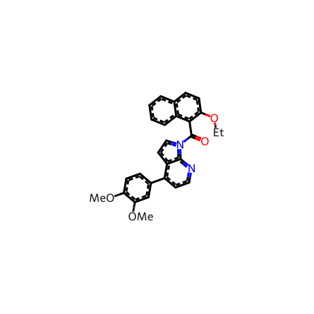 CCOc1ccc2ccccc2c1C(=O)n1ccc2c(-c3ccc(OC)c(OC)c3)ccnc21